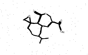 CC(C)C1CCC2(CO2)C2C(=O)OCC(C(=O)O)=CC12